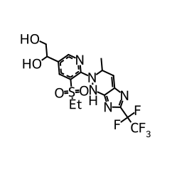 CCS(=O)(=O)c1cc(C(O)CO)cnc1N1NC2=NC(C(F)(F)C(F)(F)F)=NC2=CC1C